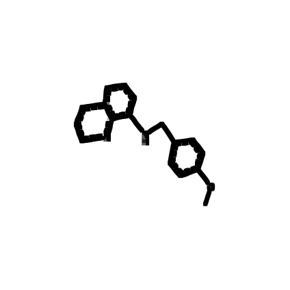 COc1ccc(CNc2cccc3cccnc23)cc1